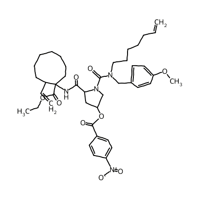 C=CCCCCCN(Cc1ccc(OC)cc1)C(=O)N1CC(OC(=O)c2ccc([N+](=O)[O-])cc2)CC1C(=O)NC1(C(=O)OCC)CCCCCCCC1C=C